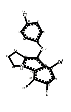 Fc1cc(Br)c2c(Sc3ccc(Cl)cc3)c3n(c2c1F)CC[CH]3